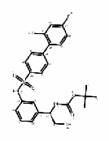 CC(C)(C)OC(=O)N[C@@H](CO)c1cccc(NS(=O)(=O)c2ccc(-c3ccc(F)cc3F)cc2)c1